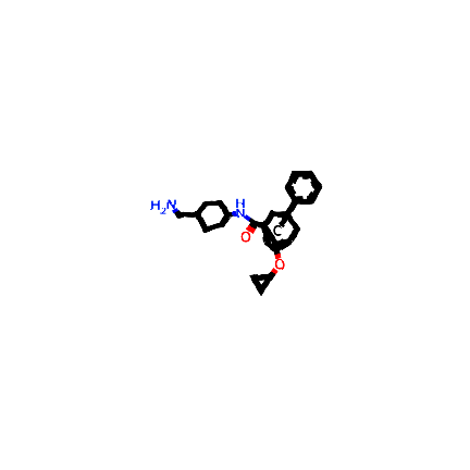 NCC1CCC(NC(=O)C23CC4CC(c5ccccc5)(CC2C4OC2CC2)C3)CC1